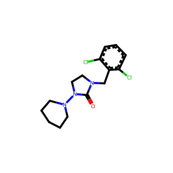 O=C1N(Cc2c(Cl)cccc2Cl)CCN1N1CCCCC1